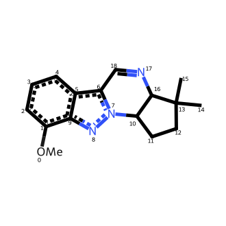 COc1cccc2c3n(nc12)C1CCC(C)(C)C1N=C3